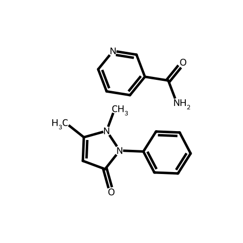 Cc1cc(=O)n(-c2ccccc2)n1C.NC(=O)c1cccnc1